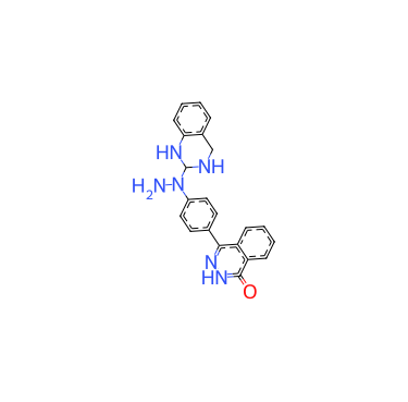 NN(c1ccc(-c2n[nH]c(=O)c3ccccc23)cc1)C1NCc2ccccc2N1